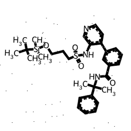 CC(C)(NC(=O)c1cccc(-c2ccncc2NS(=O)(=O)CCCO[Si](C)(C)C(C)(C)C)c1)c1ccccc1